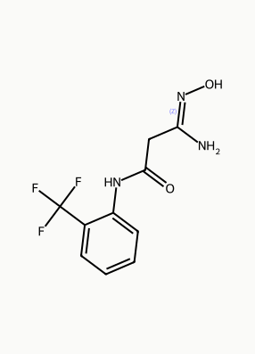 N/C(CC(=O)Nc1ccccc1C(F)(F)F)=N\O